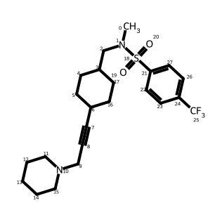 CN(CC1CCC(C#CCN2CCCCC2)CC1)S(=O)(=O)c1ccc(C(F)(F)F)cc1